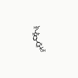 CNCCc1nc2ccc(-c3cnc(C(C)(C)O)nc3)cc2n1C